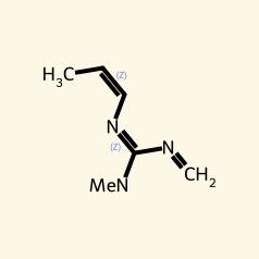 C=N/C(=N\C=C/C)NC